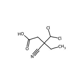 CCC(C#N)(CC(=O)O)C(Cl)Cl